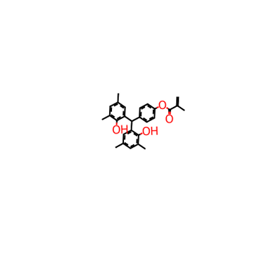 C=C(C)C(=O)Oc1ccc(C(c2cc(C)cc(C)c2O)c2cc(C)cc(C)c2O)cc1